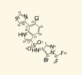 O=S(=O)(Nc1cnn(C(F)F)c1Br)c1c[nH]c2c(-c3cscn3)c(Cl)ccc12